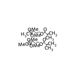 C=C(C)C(=O)OCCC[Si](C)(OC)OC.C=C(C)C(=O)OCCC[Si](OC)(OC)OC